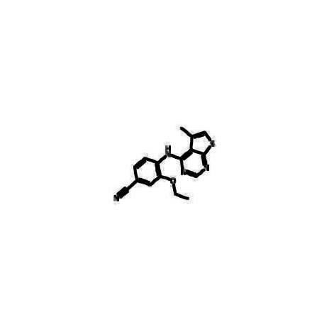 CCOc1cc(C#N)ccc1Nc1ncnc2scc(C)c12